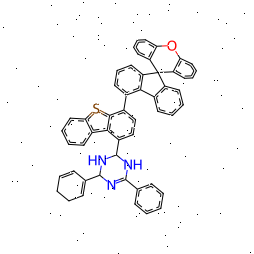 C1=CC(C2N=C(c3ccccc3)NC(c3ccc(-c4cccc5c4-c4ccccc4C54c5ccccc5Oc5ccccc54)c4sc5ccccc5c34)N2)=CCC1